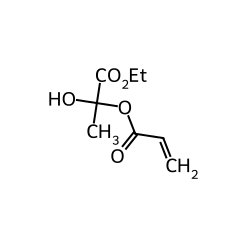 C=CC(=O)OC(C)(O)C(=O)OCC